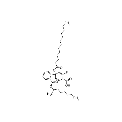 CCCCCCCCCCCCC(=O)OC1(c2ccccc2C(=O)OC(C)CCCCCC)C=CC(C(=O)O)C(F)=C1